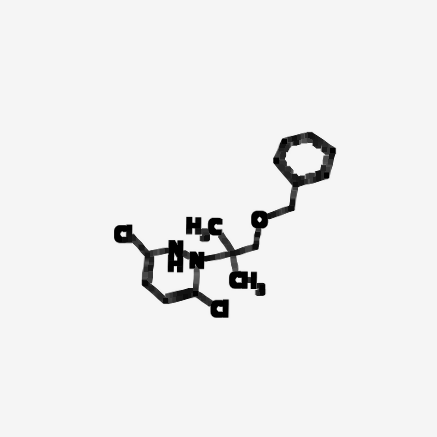 CC(C)(COCc1ccccc1)N1NC(Cl)=CC=C1Cl